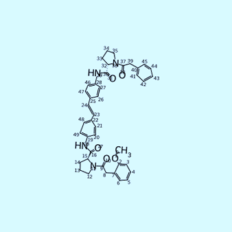 COc1ccccc1CC(=O)N1CCC[C@H]1C(=O)Nc1ccc(/C=C/c2ccc(NC(=O)[C@@H]3CCCN3C(=O)Cc3ccccc3)cc2)cc1